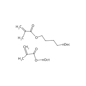 C=C(C)C(=O)OCCCCCCCC.C=C(C)C(=O)OCCCCCCCCCCCCCC